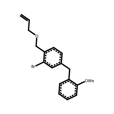 C=CCOCc1ccc(Cc2ccccc2OC)cc1Br